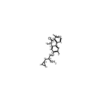 Cc1cc2c3ccnc(C)c3c(=O)n(C)c2cc1OCC(N)CC1CC1